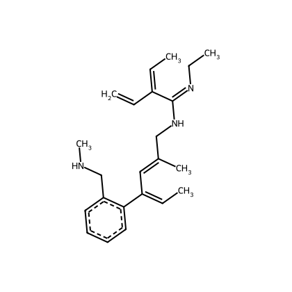 C=CC(=C/C)/C(=N\CC)NC/C(C)=C/C(=C\C)c1ccccc1CNC